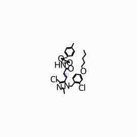 CCCCCOc1ccc(Cn2c(C)nc(Cl)c2/C=C/C(=O)NS(=O)(=O)c2ccc(C)cc2)c(Cl)c1